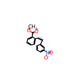 COC(=O)c1ccccc1/C=C\c1cccc([N+](=O)[O-])c1